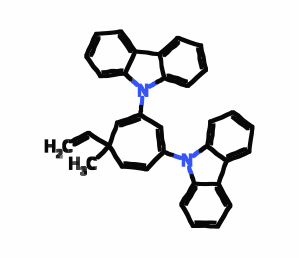 C=CC1(C)C=CC(n2c3ccccc3c3ccccc32)=CC(n2c3ccccc3c3ccccc32)=C1